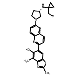 Cc1nc2c(C)c(O)c(-c3ccc4nc(N5CC[C@H](NC6(CF)CC6)C5)ccc4n3)cc2o1